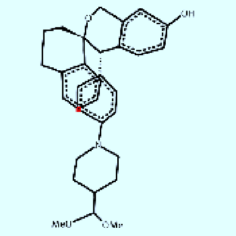 COC(OC)C1CCN(c2ccc([C@H]3c4ccc(O)cc4CO[C@]34CCCc3ccccc34)cc2)CC1